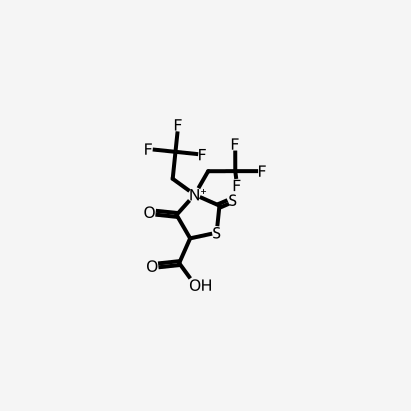 O=C(O)C1SC(=S)[N+](CC(F)(F)F)(CC(F)(F)F)C1=O